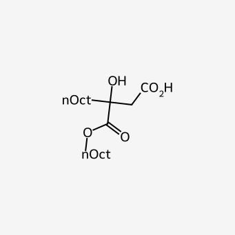 CCCCCCCCOC(=O)C(O)(CCCCCCCC)CC(=O)O